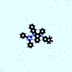 CC1C(C)(C)c2ccc(-n3c4ccccc4c4c5c6cc7ccccc7cc6n(-c6nc(-c7ccccc7)nc(-c7ccccc7)n6)c5c5ccccc5c43)cc2C1(C)C